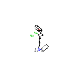 CCN(CCC#Cc1ccc(C2C3CC4CC(C3)CC2C4)c(Cl)c1)C1CCCCC1.Cl